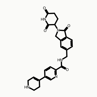 O=C1CCC(N2Cc3cc(CNC(=O)c4ccc(C5=CCNCC5)cn4)ccc3C2=O)C(=O)N1